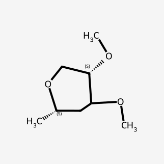 COC1C[C@H](C)OC[C@@H]1OC